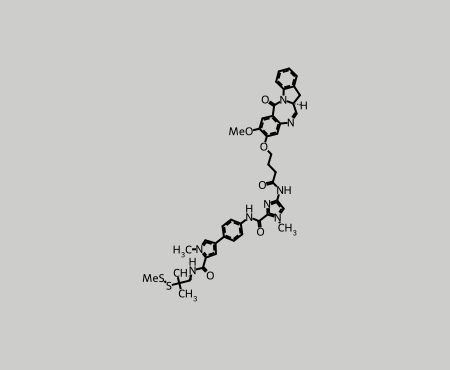 COc1cc2c(cc1OCCCC(=O)Nc1cn(C)c(C(=O)Nc3ccc(-c4cc(C(=O)NCC(C)(C)SSC)n(C)c4)cc3)n1)N=C[C@@H]1Cc3ccccc3N1C2=O